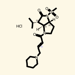 CC(C)[C@@H]1C(=O)N(S(C)(=O)=O)[C@@H]2CCN(C(=O)/C=C/CN3CCCCC3)[C@H]21.Cl